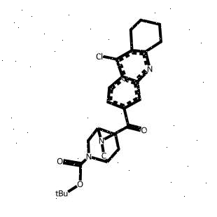 CC(C)(C)OC(=O)N1CC2CCC1CN2C(=O)c1ccc2c(Cl)c3c(nc2c1)CCCC3